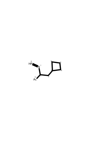 CC(=O)C(CC1CCC1)N=P